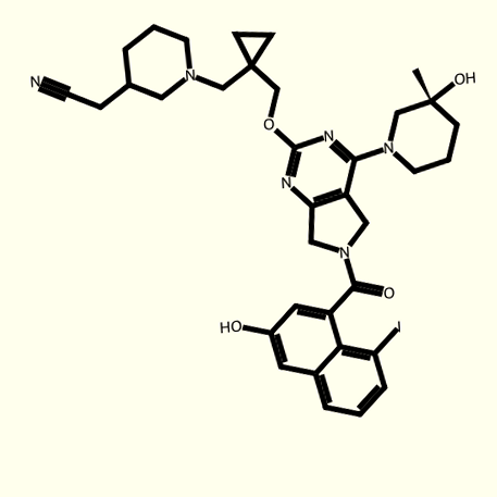 C[C@@]1(O)CCCN(c2nc(OCC3(CN4CCCC(CC#N)C4)CC3)nc3c2CN(C(=O)c2cc(O)cc4cccc(I)c24)C3)C1